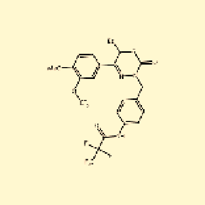 CCC1SC(=O)N(Cc2ccc(NC(=O)C(F)(F)C(F)(F)F)cc2)N=C1c1ccc(OC)c(OC(F)(F)F)c1